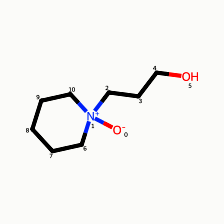 [O-][N+]1(CCCO)CCCCC1